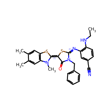 CCNc1ccc(C#N)cc1/N=C1/S/C(=C2\Sc3cc(C)c(C)cc3N2C)C(=O)N1Cc1ccccc1